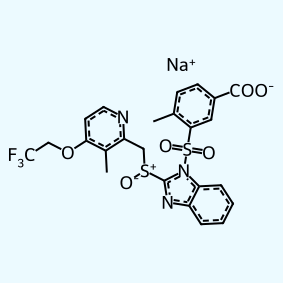 Cc1ccc(C(=O)[O-])cc1S(=O)(=O)n1c([S+]([O-])Cc2nccc(OCC(F)(F)F)c2C)nc2ccccc21.[Na+]